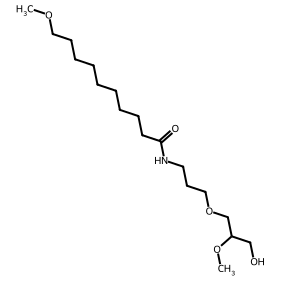 COCCCCCCCCCC(=O)NCCCOCC(CO)OC